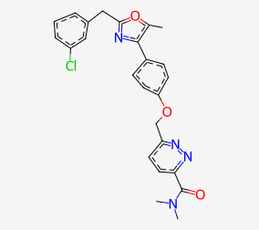 Cc1oc(Cc2cccc(Cl)c2)nc1-c1ccc(OCc2ccc(C(=O)N(C)C)nn2)cc1